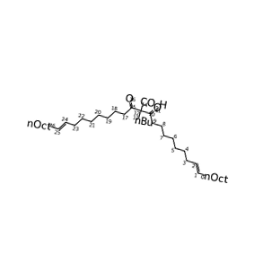 CCCCCCCCC=CCCCCCCCC(=O)C(CCCC)(C(=O)O)C(=O)CCCCCCCC=CCCCCCCCC